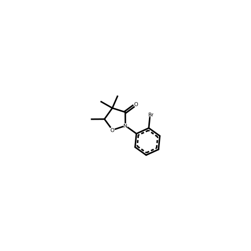 CC1ON(c2ccccc2Br)C(=O)C1(C)C